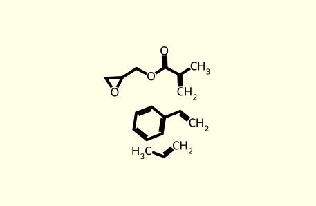 C=C(C)C(=O)OCC1CO1.C=CC.C=Cc1ccccc1